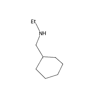 CCNC[C]1CCCCC1